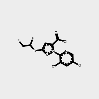 O=C(Cl)c1cc(OC(F)CF)nn1-c1ncc(Cl)cc1Cl